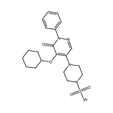 CC(C)S(=O)(=O)N1CCN(c2cnn(-c3ccccc3)c(=O)c2OC2CCCCC2)CC1